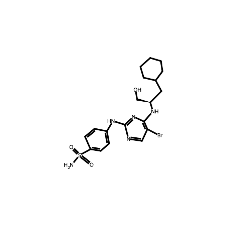 NS(=O)(=O)c1ccc(Nc2ncc(Br)c(N[C@@H](CO)CC3CCCCC3)n2)cc1